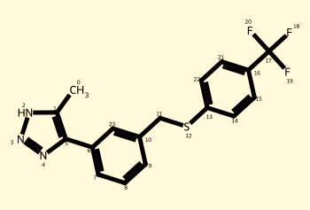 Cc1[nH]nnc1-c1cccc(CSc2ccc(C(F)(F)F)cc2)c1